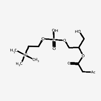 CC(=O)CC(=O)OC(CO)COP(=O)(O)OCC[N+](C)(C)C